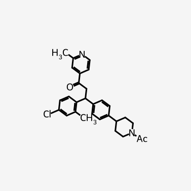 CC(=O)N1CCC(c2ccc(C(CC(=O)c3ccnc(C)c3)c3ccc(Cl)cc3C)cc2)CC1